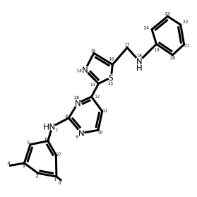 Cc1cc(C)cc(Nc2nccc(-c3ncc(CNc4ccccc4)s3)n2)c1